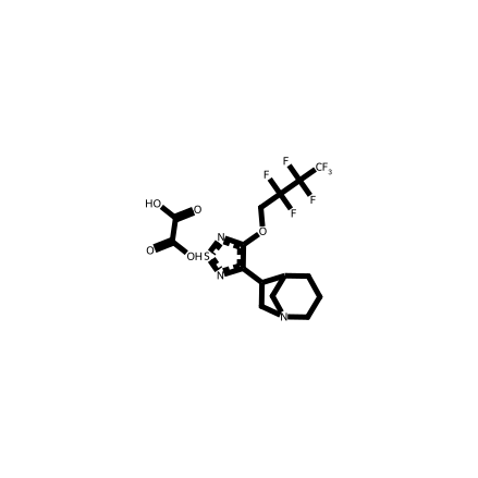 FC(F)(F)C(F)(F)C(F)(F)COc1nsnc1C1CN2CCCC1C2.O=C(O)C(=O)O